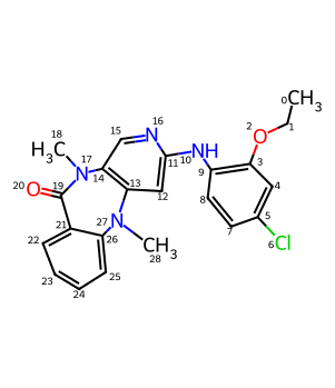 CCOc1cc(Cl)ccc1Nc1cc2c(cn1)N(C)C(=O)c1ccccc1N2C